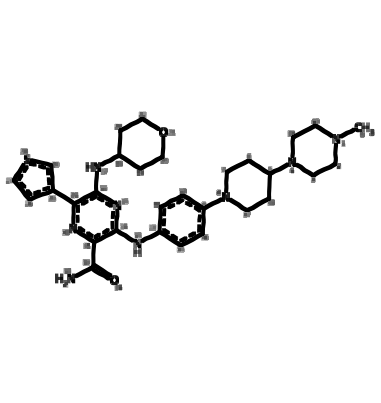 CN1CCN(C2CCN(c3ccc(Nc4nc(NC5CCOCC5)c(-c5ccsc5)nc4C(N)=O)cc3)CC2)CC1